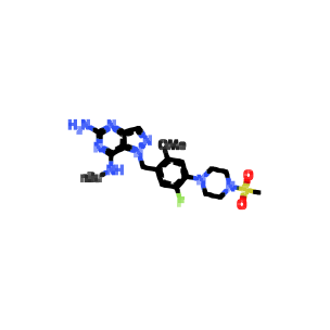 CCCCNc1nc(N)nc2cnn(Cc3cc(F)c(N4CCN(S(C)(=O)=O)CC4)cc3OC)c12